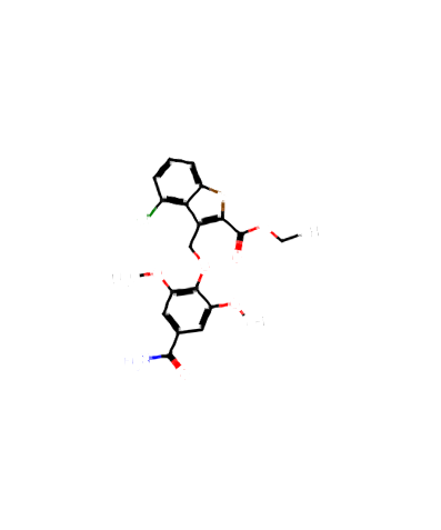 CCOC(=O)c1sc2cccc(Cl)c2c1COc1c(OC)cc(C(N)=O)cc1OC